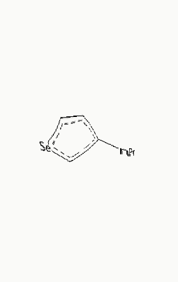 CCCc1cc[se]c1